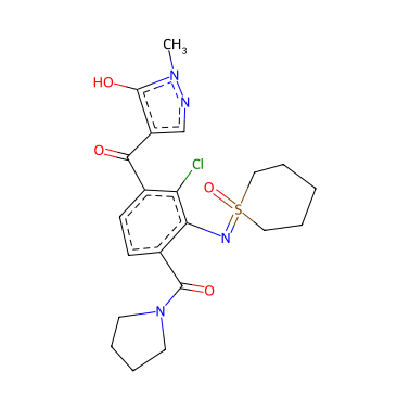 Cn1ncc(C(=O)c2ccc(C(=O)N3CCCC3)c(N=S3(=O)CCCCC3)c2Cl)c1O